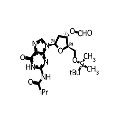 CC(C)C(=O)Nc1nc2c(ncn2[C@H]2C[C@H](OC=O)[C@@H](CO[Si](C)(C)C(C)(C)C)O2)c(=O)[nH]1